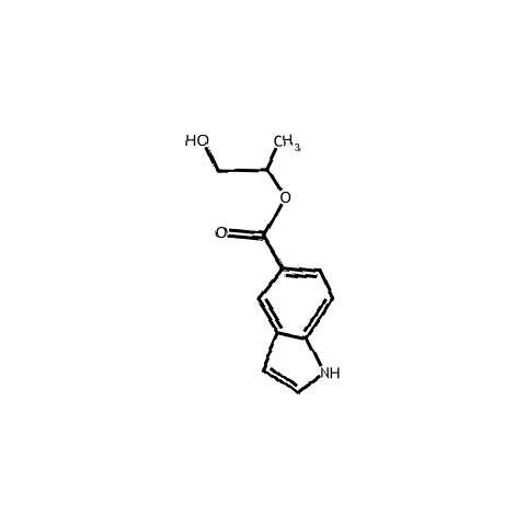 CC(CO)OC(=O)c1ccc2[nH]ccc2c1